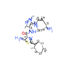 Cn1ncc(NC(=O)c2nc(C3=CCCCCC3)sc2N)c1N1CCC[C@@H](N)CC1